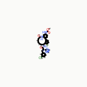 COC(=O)Nc1ccc2c(c1)NC(=O)CCCCCC(NC(=O)/C=C/c1cc(Cl)ccc1-n1cnnn1)c1cc-2ccc1F